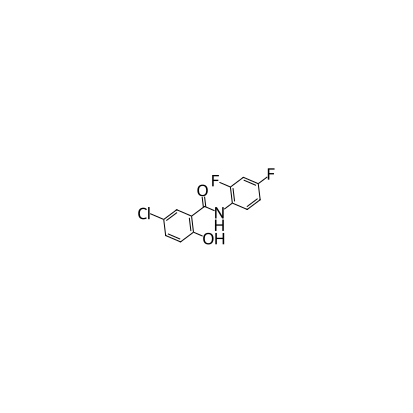 O=C(Nc1ccc(F)cc1F)c1cc(Cl)ccc1O